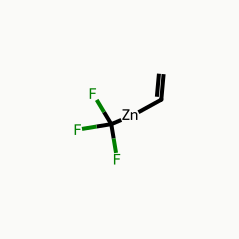 C=[CH][Zn][C](F)(F)F